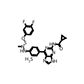 CN(Nc1ccc(-c2nc(NC(=O)C3CC3)nc3[nH]cnc23)cc1)SOc1ccc(F)c(F)c1.S